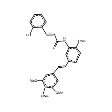 COc1ccc(C=Cc2cc(OC)c(OC)c(OC)c2)cc1NC(=O)/C=C/c1ccccc1O